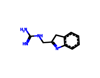 N=C(N)NCC1=Nc2ccccc2C1